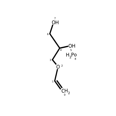 C=COCC(O)CO.[PoH2]